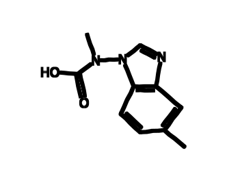 Cc1ccc2c(c1)ncn2N(C)C(=O)O